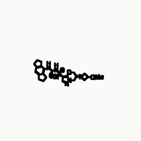 COC1CN([C@@H]2COc3c([S@@](=N)(=O)NC(=O)Nc4c5c(cc6c4CCC6)CCC5)cnn3C2)C1